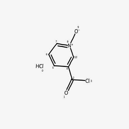 Cl.O=C(Cl)c1ccc[n+]([O-])c1